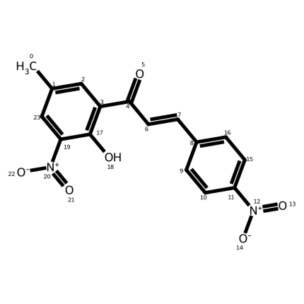 Cc1cc(C(=O)C=Cc2ccc([N+](=O)[O-])cc2)c(O)c([N+](=O)[O-])c1